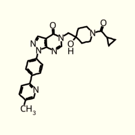 Cc1ccc(-c2ccc(-n3ncc4c(=O)n(CC5(O)CCN(C(=O)C6CC6)CC5)cnc43)cc2)nc1